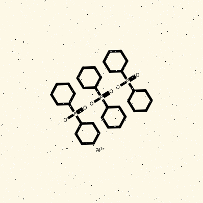 O=P([O-])(C1CCCCC1)C1CCCCC1.O=P([O-])(C1CCCCC1)C1CCCCC1.O=P([O-])(C1CCCCC1)C1CCCCC1.[Al+3]